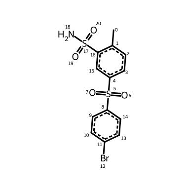 Cc1ccc(S(=O)(=O)c2ccc(Br)cc2)cc1S(N)(=O)=O